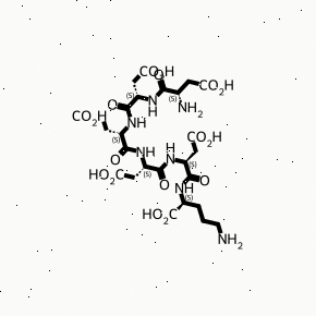 NCCC[C@H](NC(=O)[C@H](CC(=O)O)NC(=O)[C@H](CC(=O)O)NC(=O)[C@H](CC(=O)O)NC(=O)[C@H](CC(=O)O)NC(=O)[C@@H](N)CC(=O)O)C(=O)O